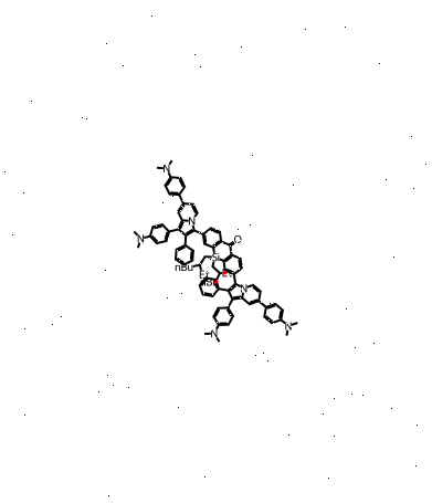 CCCCC(CC)C[Si]1(CC(CC)CCCC)c2cc(-c3c(-c4ccccc4)c(-c4ccc(N(C)C)cc4)c4cc(-c5ccc(N(C)C)cc5)ccn34)ccc2C(=O)c2ccc(-c3c(-c4ccccc4)c(-c4ccc(N(C)C)cc4)c4cc(-c5ccc(N(C)C)cc5)ccn34)cc21